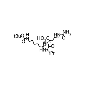 CC(C)[C@H](NC(=O)CCCCCNC(=O)OC(C)(C)C)C(=O)N[C@@H](CCCNC(N)=O)C(=O)O